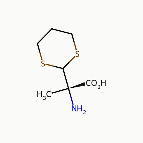 C[C@](N)(C(=O)O)C1SCCCS1